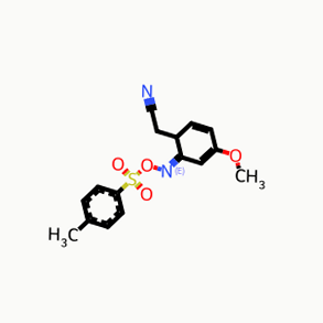 COC1=C/C(=N/OS(=O)(=O)c2ccc(C)cc2)C(CC#N)C=C1